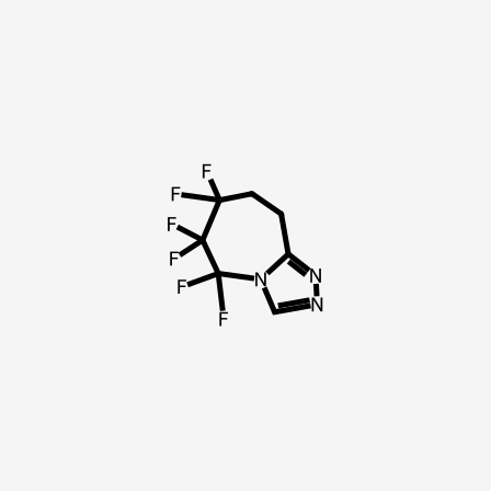 FC1(F)CCc2nncn2C(F)(F)C1(F)F